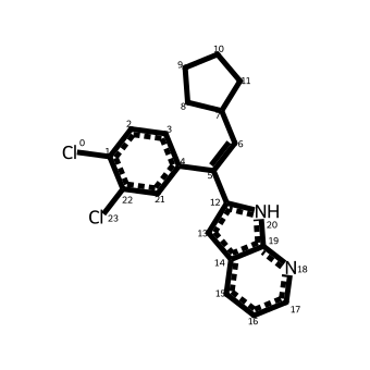 Clc1ccc(C(=CC2CCCC2)c2cc3cccnc3[nH]2)cc1Cl